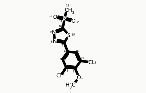 COc1c(Cl)cc(-c2nnc(S(C)(=O)=O)s2)cc1Cl